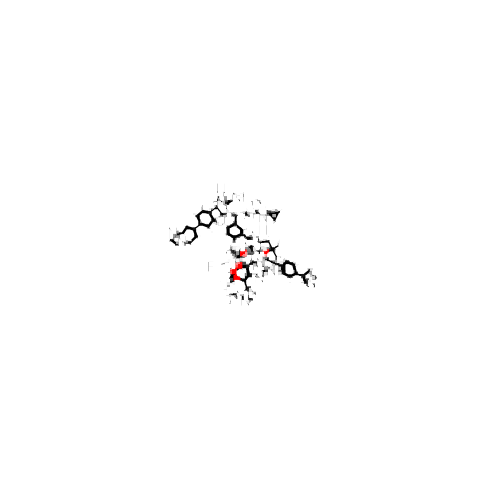 CC(C)(C)C[C@]1(c2ccc(-c3ccn4ccnc4c3)cc2)NC(=N)N([C@H](COC(=O)NC2(C(F)(F)F)CC2)c2ccc(Cl)c(-c3nc(CC(C)(C)C[C@]4(c5ccc(-c6cnsc6)cc5)NC(=N)N([C@H](COC(=O)NC5(C(F)(F)F)CC5)c5ccc(Cl)c(-c6ncnn6C(F)F)c5)C4=O)nn3C(F)F)c2)C1=O